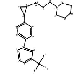 FC(F)(F)c1cccc(-c2ccc(C3CC3NCCN3CCCCC3)cc2)c1